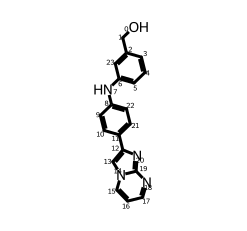 OCc1cccc(Nc2ccc(-c3cn4cccnc4n3)cc2)c1